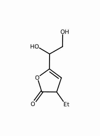 CCC1C=C(C(O)CO)OC1=O